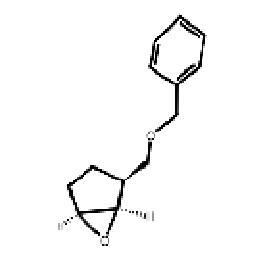 c1ccc(COC[C@@H]2CC[C@@H]3O[C@H]23)cc1